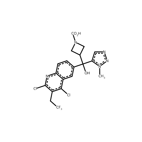 Cn1nncc1C(O)(c1ccc2nc(Cl)c(CC(F)(F)F)c(Cl)c2c1)C1CN(C(=O)O)C1